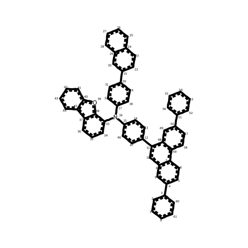 c1ccc(-c2ccc3c(c2)cc(-c2ccc(N(c4ccc(-c5ccc6ccccc6c5)cc4)c4cccc5c4oc4ccccc45)cc2)c2cc(-c4ccccc4)ccc23)cc1